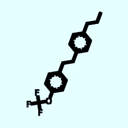 CCCc1ccc(CCc2ccc(OC(F)(F)F)cc2)cc1